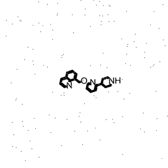 c1cc(OCc2cccc3cccnc23)nc(C2CCNCC2)c1